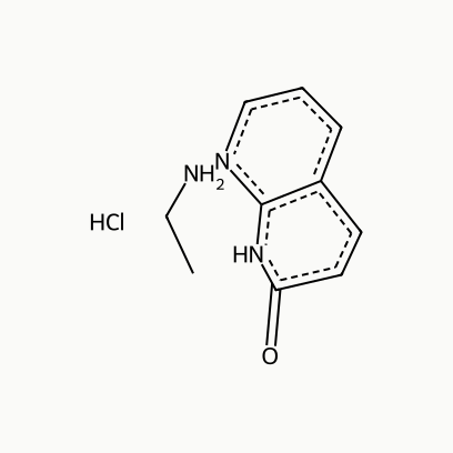 CCN.Cl.O=c1ccc2cccnc2[nH]1